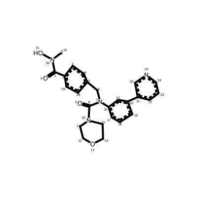 O=C(c1ccc(CN(C(=O)N2CCOCC2)c2cccc(-c3cccnc3)c2)cc1)N(O)I